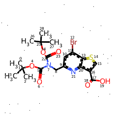 CC(C)(C)OC(=O)N(Cc1cc(Br)c2scc(C(=O)O)c2n1)C(=O)OC(C)(C)C